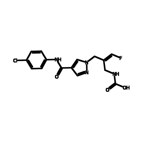 O=C(O)NC/C(=C\F)Cn1cc(C(=O)Nc2ccc(Cl)cc2)cn1